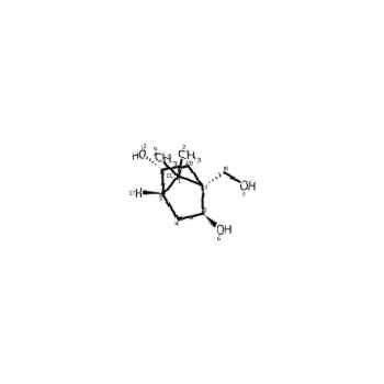 CC1(C)[C@@H]2C[C@H](O)[C@]1(CO)C[C@H]2O